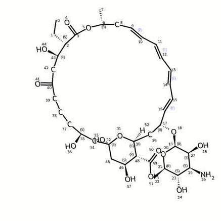 CC[C@@H]1C(=O)O[C@H](C)C/C=C/C=C/C=C/C=C/[C@H](O[C@@H]2O[C@H](C)[C@@H](O)[C@H](N)[C@@H]2O)C[C@@H]2O[C@](O)(C[C@@H](O)CCCC(=O)C[C@H]1O)C[C@H](O)[C@H]2C(=O)O